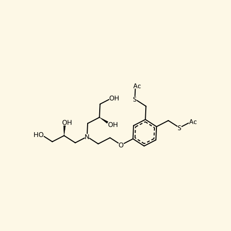 CC(=O)SCc1ccc(OCCN(C[C@H](O)CO)C[C@H](O)CO)cc1CSC(C)=O